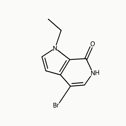 CCn1ccc2c(Br)c[nH]c(=O)c21